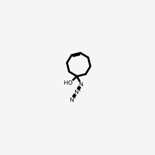 [N-]=[N+]=NC1(O)CC/C=C\CCC1